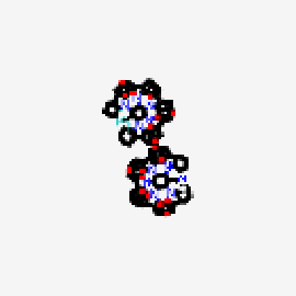 N#Cc1c(-n2c3ccccc3c3ccccc32)c(-n2c3ccccc3c3ccccc32)c(-n2c3ccccc3c3ccccc32)c(-n2c3ccccc3c3ccccc32)c1-n1c2ccccc2c2cc(-c3ccc4c(c3)c3ccccc3n4-c3c(-n4c5ccccc5c5ccccc54)c(-n4c5ccccc5c5ccccc54)c(-n4c5ccccc5c5ccccc54)c(C(F)(F)F)c3-n3c4ccccc4c4ccccc43)ccc21